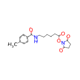 Cc1ccc(C(=O)NCCCCCC(=O)ON2C(=O)CCC2=O)cc1